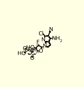 N#Cc1c(Cl)nc2c(ccn2[C@@H]2O[C@H](CS(=O)(=O)CP(=O)(O)O)[C@@H](O)[C@@H]2F)c1N